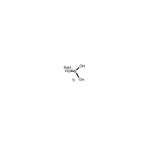 OB(O)O.[BaH2].[Ti]